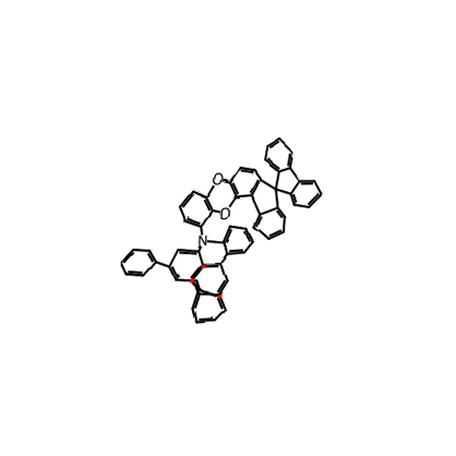 c1ccc(-c2cc(-c3ccccc3)cc(N(c3ccccc3-c3ccccc3)c3cccc4c3Oc3c(ccc5c3-c3ccccc3C53c5ccccc5-c5ccccc53)O4)c2)cc1